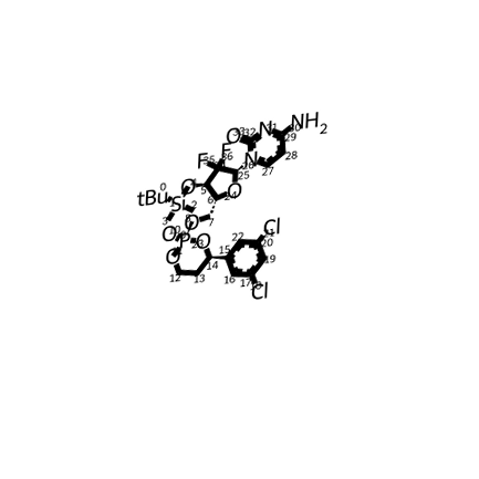 CC(C)(C)[Si](C)(C)O[C@@H]1[C@@H](CO[P@]2(=O)OCC[C@H](c3cc(Cl)cc(Cl)c3)O2)O[C@@H](n2ccc(N)nc2=O)C1(F)F